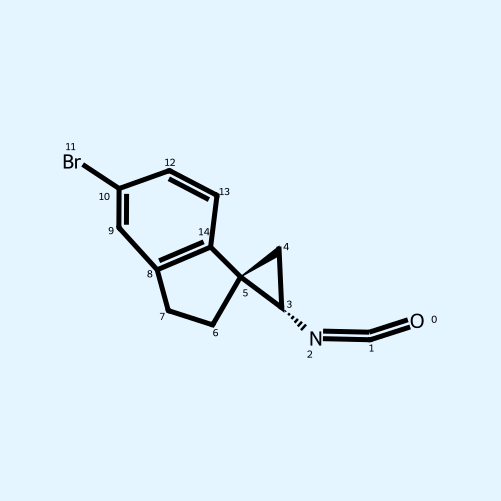 O=C=N[C@H]1C[C@]12CCc1cc(Br)ccc12